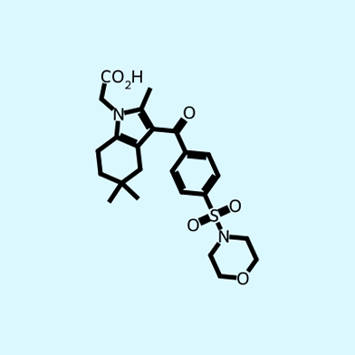 Cc1c(C(=O)c2ccc(S(=O)(=O)N3CCOCC3)cc2)c2c(n1CC(=O)O)CCC(C)(C)C2